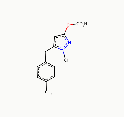 Cc1ccc(Cc2cc(OC(=O)O)nn2C)cc1